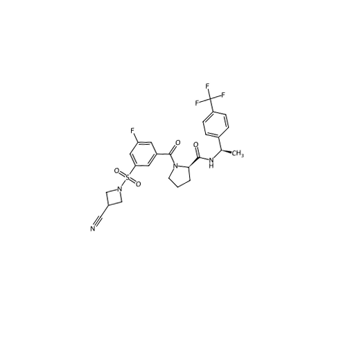 C[C@@H](NC(=O)[C@H]1CCCN1C(=O)c1cc(F)cc(S(=O)(=O)N2CC(C#N)C2)c1)c1ccc(C(F)(F)F)cc1